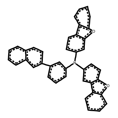 c1cc(-c2ccc3ccccc3c2)cc(N(c2ccc3c(c2)oc2ccccc23)c2ccc3oc4ccccc4c3c2)c1